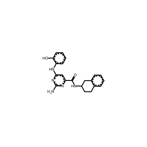 Nc1nc(Nc2ccccc2O)cc(C(=O)NC2CCc3ccccc3C2)n1